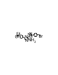 CCC(=O)N1CC=C(c2cnc(N)c(-c3nnc(-c4ccc(CBr)cc4)o3)n2)CC1